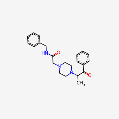 CC(C(=O)c1ccccc1)N1CCN(CC(=O)NCc2ccccc2)CC1